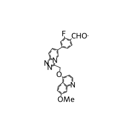 COc1ccc2c(OCc3nnc4ccc(-c5ccc([C]=O)c(F)c5)cn34)ccnc2c1